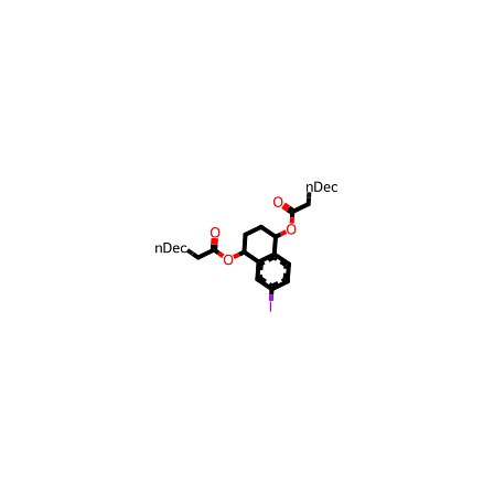 CCCCCCCCCCCC(=O)OC1CCC(OC(=O)CCCCCCCCCCC)c2cc(I)ccc21